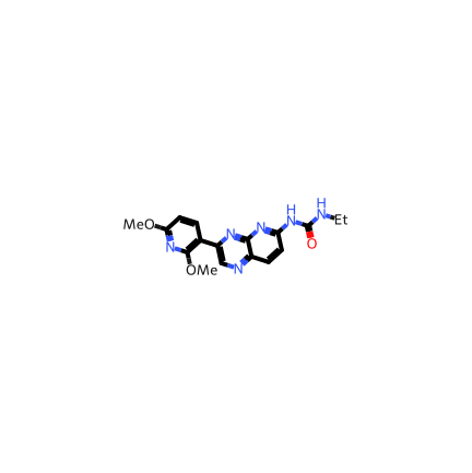 CCNC(=O)Nc1ccc2ncc(-c3ccc(OC)nc3OC)nc2n1